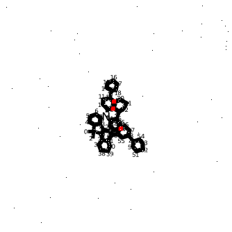 CC1(C)c2cccc(N(c3ccc(-c4ccccc4)cc3)c3ccccc3-c3ccccc3)c2-c2c1c1ccccc1c1c2oc2ccc(-c3ccccc3)cc21